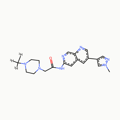 [2H]C([2H])([2H])N1CCN(CC(=O)Nc2cc3cc(-c4cnn(C)c4)cnc3cn2)CC1